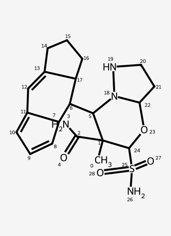 CC1(C(N)=O)C(C2C3C=CC=C3C=C3CCCC32)N2NCCC2OC1S(N)(=O)=O